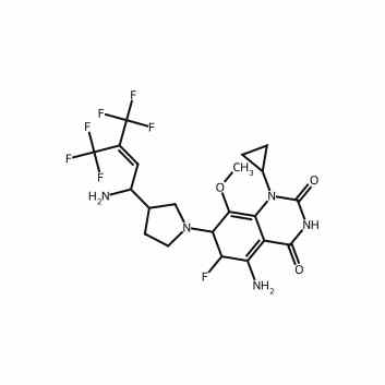 COC1=c2c(c(=O)[nH]c(=O)n2C2CC2)=C(N)C(F)C1N1CCC(C(N)C=C(C(F)(F)F)C(F)(F)F)C1